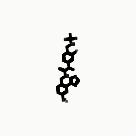 CC(C(=O)NCc1ccc(C(F)(F)F)nc1-c1cscn1)c1ccc(CNS(C)(=O)=O)c(F)c1